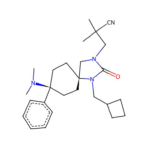 CN(C)[C@]1(c2ccccc2)CC[C@@]2(CC1)CN(CC(C)(C)C#N)C(=O)N2CC1CCC1